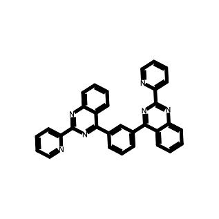 c1ccc(-c2nc(-c3cccc(-c4nc(-c5ccccn5)nc5ccccc45)c3)c3ccccc3n2)nc1